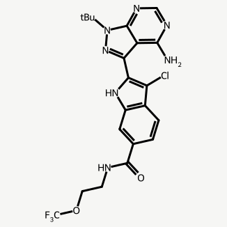 CC(C)(C)n1nc(-c2[nH]c3cc(C(=O)NCCOC(F)(F)F)ccc3c2Cl)c2c(N)ncnc21